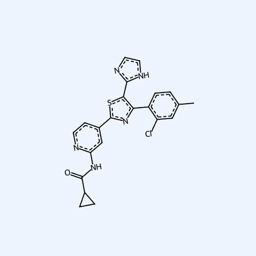 Cc1ccc(-c2nc(-c3ccnc(NC(=O)C4CC4)c3)sc2-c2ncc[nH]2)c(Cl)c1